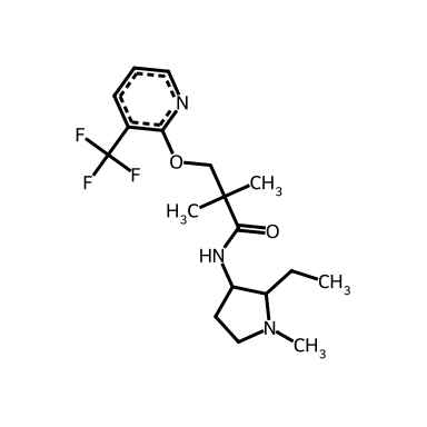 CCC1C(NC(=O)C(C)(C)COc2ncccc2C(F)(F)F)CCN1C